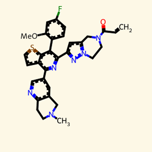 C=CC(=O)N1CCn2nc(-c3nc(-c4cnc5c(c4)CN(C)CC5)c4ccsc4c3-c3ccc(F)cc3OC)cc2C1